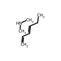 C=CC=CCC.CNC